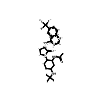 CC(=O)NC1CC(NC(C)(C)C)CCC1N1CC[C@H](Nc2ncnc3ccc(C(F)(F)F)cc23)C1=O